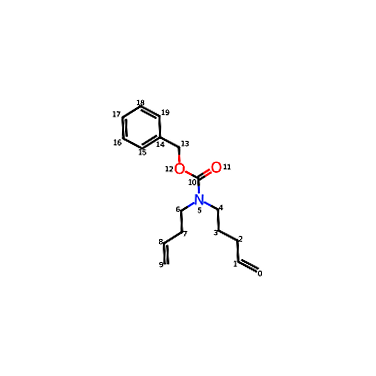 C=CCCCN(CCC=C)C(=O)OCc1ccccc1